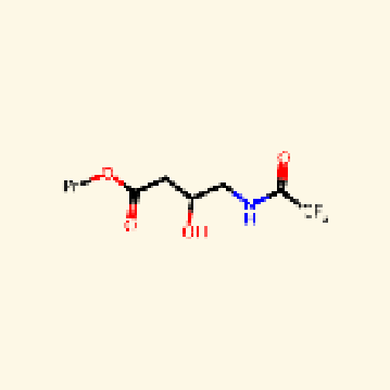 CC(C)OC(=O)CC(O)CNC(=O)C(F)(F)F